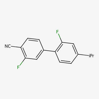 CC(C)c1ccc(-c2ccc(C#N)c(F)c2)c(F)c1